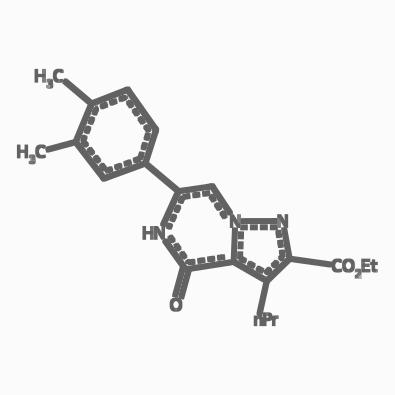 CCCc1c(C(=O)OCC)nn2cc(-c3ccc(C)c(C)c3)[nH]c(=O)c12